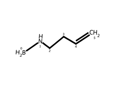 BNCCC=C